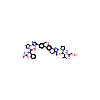 COC(=O)N[C@@H](C(=O)N1CCC[C@H]1c1ncc(-c2ccc3c(c2)COc2cc4c(cc2-3)CCc2[nH]c([C@@H]3CCCN3C(=O)[C@@H](NC(=O)CO)C(C)C)nc2-4)[nH]1)c1ccccc1